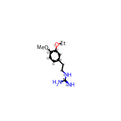 CCOc1cc(CCNC(=N)N)ccc1OC